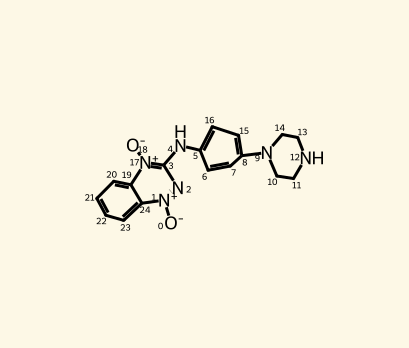 [O-][n+]1nc(Nc2ccc(N3CCNCC3)cc2)[n+]([O-])c2ccccc21